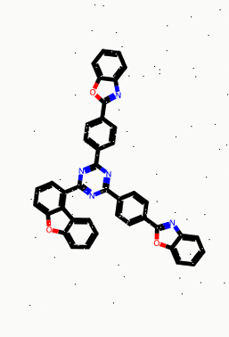 c1ccc2oc(-c3ccc(-c4nc(-c5ccc(-c6nc7ccccc7o6)cc5)nc(-c5cccc6oc7ccccc7c56)n4)cc3)nc2c1